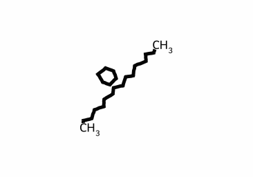 C1CCCCC1.CCCCCCCCCCCCCCCC